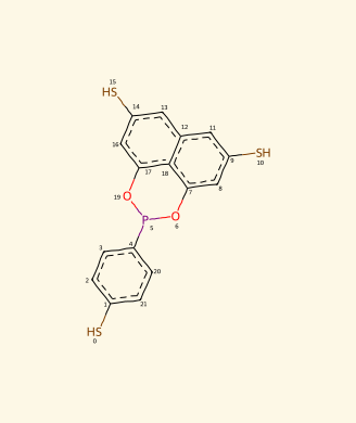 Sc1ccc(P2Oc3cc(S)cc4cc(S)cc(c34)O2)cc1